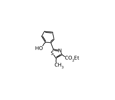 CCOC(=O)c1nc(-c2ccccc2O)sc1C